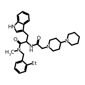 CCc1ccccc1CN(C)C(=O)C(Cc1c[nH]c2ccccc12)NC(=O)CN1CCC(N2CCCCC2)CC1